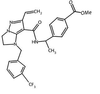 C=Cc1nn2c(c1C(=O)NC(C)c1ccc(C(=O)OC)cc1)N(Cc1cccc(C(F)(F)F)c1)CC2